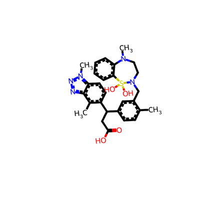 Cc1ccc(C(CC(=O)O)c2ccc3c(nnn3C)c2C)cc1CN1CCN(C)c2ccccc2S1(O)O